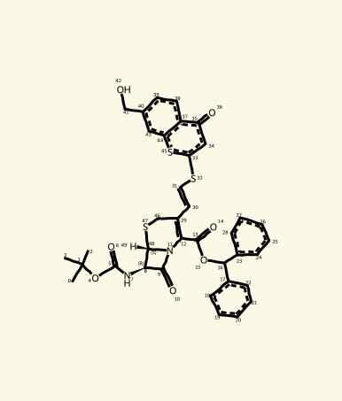 CC(C)(C)OC(=O)N[C@@H]1C(=O)N2C(C(=O)OC(c3ccccc3)c3ccccc3)=C(C=CSc3cc(=O)c4ccc(CO)cc4s3)CS[C@@H]12